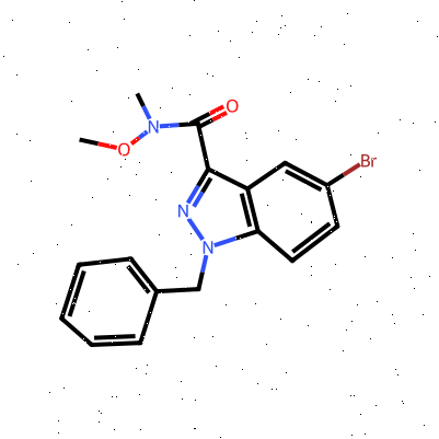 CON(C)C(=O)c1nn(Cc2ccccc2)c2ccc(Br)cc12